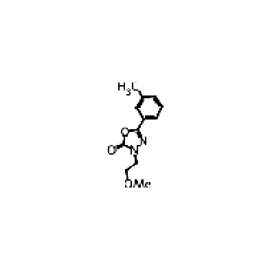 COCCn1nc(-c2cccc(C)c2)oc1=O